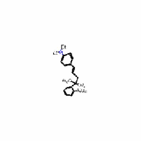 CCN(CC)c1ccc(/C=C/CC(C)(C)c2ccccc2NC)cc1